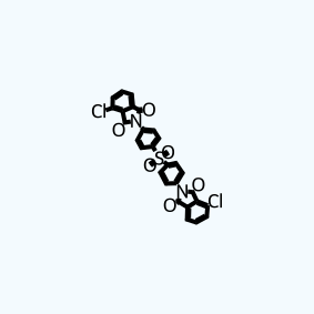 O=C1c2cccc(Cl)c2C(=O)N1c1ccc(S(=O)(=O)c2ccc(N3C(=O)c4cccc(Cl)c4C3=O)cc2)cc1